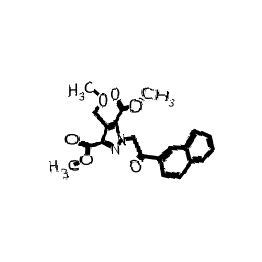 COCc1c(C(=O)OC)nn(CC(=O)c2ccc3ccccc3c2)c1C(=O)OC